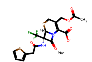 CC(=O)OCC1=C(C(=O)[O-])N2C(=O)[C@@](NC(=O)Cc3cccs3)(C(F)(F)F)[C@H]2SC1.[Na+]